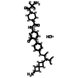 CC(C)N(C(C)Cc1ccc(-n2ccc(NC(=O)N3CCN(C(=O)C(C)(C)N)CC3)nc2=O)cc1)C1CC2(CC(N)C2)C1.Cl